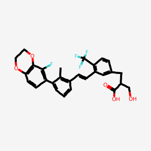 Cc1c(C=Cc2cc(CC(CO)C(=O)O)ccc2C(F)(F)F)cccc1-c1ccc2c(c1F)OCCO2